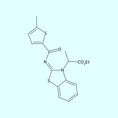 CCOC(=O)C(C)n1/c(=N\C(=O)c2ccc(C)s2)sc2ccccc21